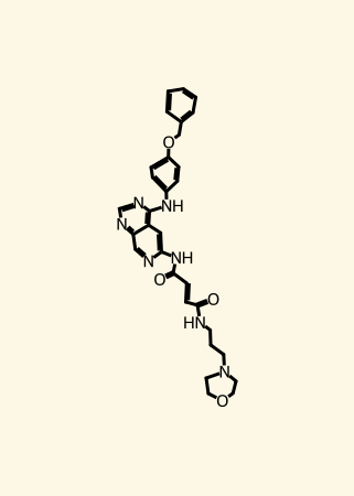 O=C(C=CC(=O)Nc1cc2c(Nc3ccc(OCc4ccccc4)cc3)ncnc2cn1)NCCCN1CCOCC1